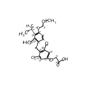 COCOc1ccc(Cc2c(Cl)cc(OCC(=O)O)cc2Cl)c(O)c1C(C)C